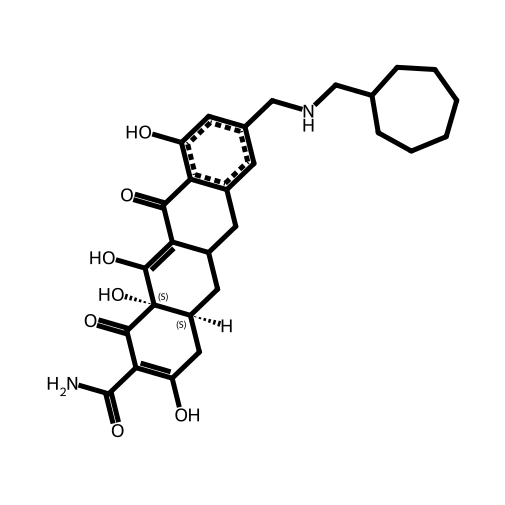 NC(=O)C1=C(O)C[C@@H]2CC3Cc4cc(CNCC5CCCCCC5)cc(O)c4C(=O)C3=C(O)[C@]2(O)C1=O